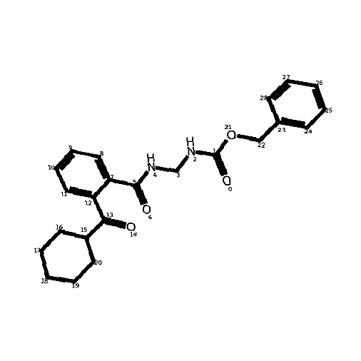 O=C(NCNC(=O)c1ccccc1C(=O)C1CCCCC1)OCc1ccccc1